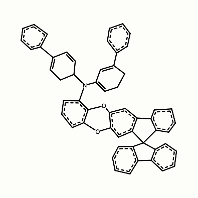 C1=CC(N(C2=CCCC(c3ccccc3)=C2)c2cccc3c2Oc2cc4c(cc2O3)C2(c3ccccc3-c3ccccc32)c2ccccc2-4)CC=C1c1ccccc1